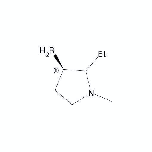 B[C@@H]1CCN(C)C1CC